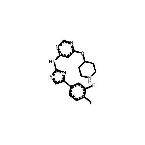 Fc1ccc(-c2csc(Nc3cc(OC4CCNCC4)ncn3)n2)cc1F